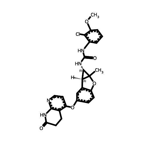 COc1cccc(NC(=O)N[C@H]2[C@@H]3c4cc(Oc5ccnc6c5CCC(=O)N6)ccc4OC23C)c1Cl